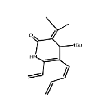 C=C/C=C\C1=C(C=C)NC(=O)C(=C(C)C)C1C(C)(C)C